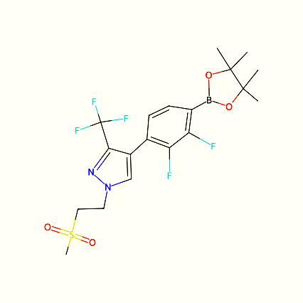 CC1(C)OB(c2ccc(-c3cn(CCS(C)(=O)=O)nc3C(F)(F)F)c(F)c2F)OC1(C)C